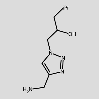 CC(C)CC(O)Cn1cc(CN)nn1